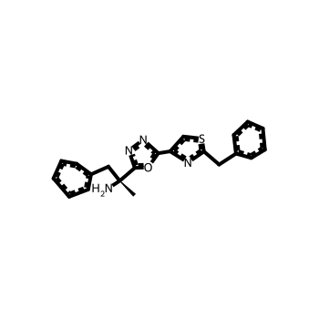 C[C@@](N)(Cc1ccccc1)c1nnc(-c2csc(Cc3ccccc3)n2)o1